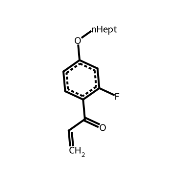 C=CC(=O)c1ccc(OCCCCCCC)cc1F